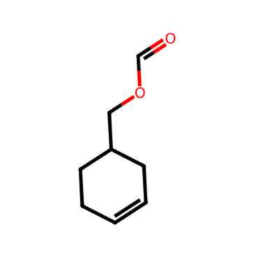 O=COCC1CC=CCC1